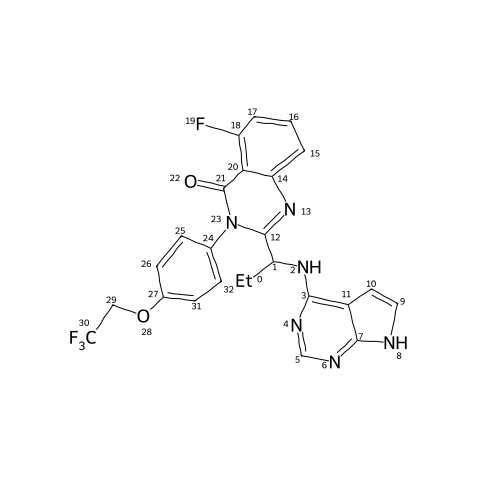 CCC(Nc1ncnc2[nH]ccc12)c1nc2cccc(F)c2c(=O)n1-c1ccc(OCC(F)(F)F)cc1